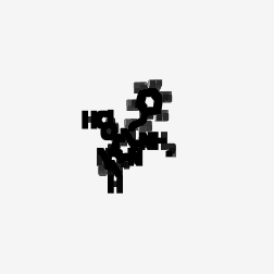 Cl.Nc1nc2[nH]cnc2c(=O)n1CCc1ccccc1